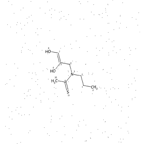 CCCN([CH]C(O)=CO)C(C)=S